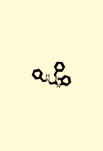 c1ccc(CNCc2nc3ccccc3n2Cc2ccccc2)cc1